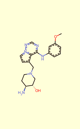 COc1cccc(Nc2ncnn3ccc(CN4CC[C@H](N)[C@@H](O)C4)c23)c1